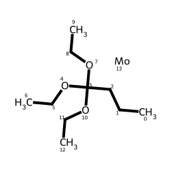 CCCC(OCC)(OCC)OCC.[Mo]